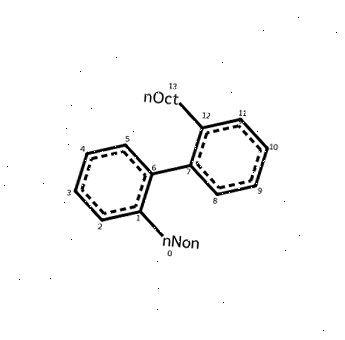 CCCCCCCCCc1ccccc1-c1ccc[c]c1CCCCCCCC